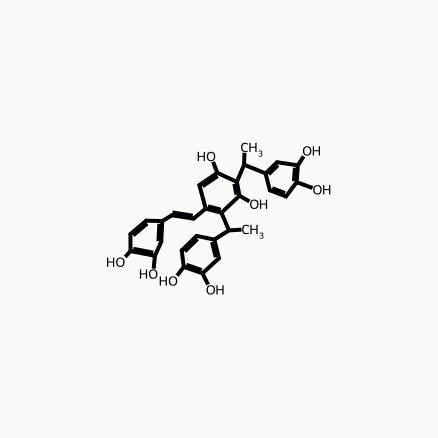 CC(c1ccc(O)c(O)c1)c1c(O)cc(/C=C/c2ccc(O)c(O)c2)c(C(C)c2ccc(O)c(O)c2)c1O